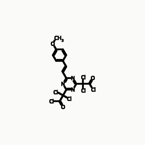 COc1ccc(C=Cc2nc(C(Cl)(Cl)C(=O)Cl)nc(C(Cl)(Cl)C(=O)Cl)n2)cc1